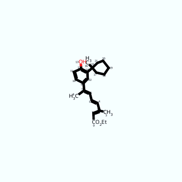 CCOC(=O)C=C(C)C=CC=C(C)c1ccc(O)c(C2(C)CCCCC2)c1